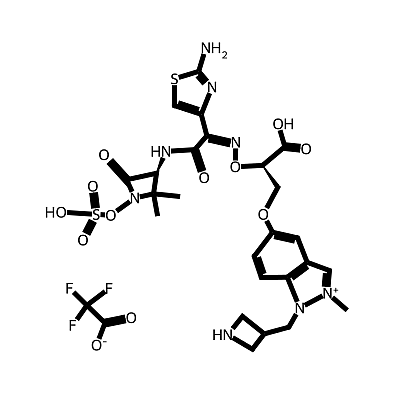 C[n+]1cc2cc(OC[C@@H](O/N=C(\C(=O)N[C@@H]3C(=O)N(OS(=O)(=O)O)C3(C)C)c3csc(N)n3)C(=O)O)ccc2n1CC1CNC1.O=C([O-])C(F)(F)F